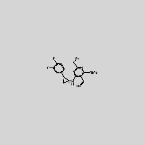 CCSc1nc(NC)c(C=N)c(N[C@@H]2CC2c2ccc(F)c(F)c2)n1